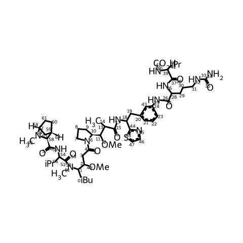 CCC(C)C(C(CC(=O)N1CCC[C@H]1C(OC)C(C)C(=O)NC(Cc1cccc(NC(=O)C(CCCNC(N)=O)NC(=O)C(NC(=O)O)C(C)C)c1)c1nccs1)OC)N(C)C(=O)C(NC(=O)[C@@H]1[C@H]2CC[C@H](C2)N1C)C(C)C